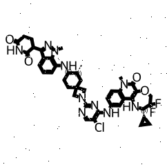 C[C@@H]1CC2(CC[C@@H]1Nc1cccc3c(C4CCC(=O)NC4=O)nn(C)c13)CN(c1ncc(Cl)c(Nc3ccc4c(c3)c3c(c(=O)n4C)OCC(F)(F)[C@H](C4CC4)N3)n1)C2